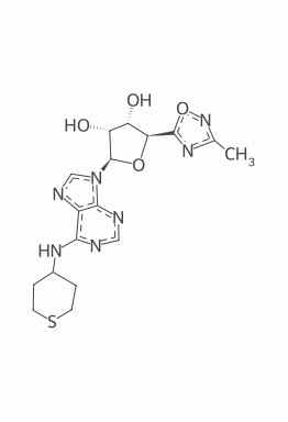 Cc1noc([C@H]2O[C@@H](n3cnc4c(NC5CCSCC5)ncnc43)[C@H](O)[C@@H]2O)n1